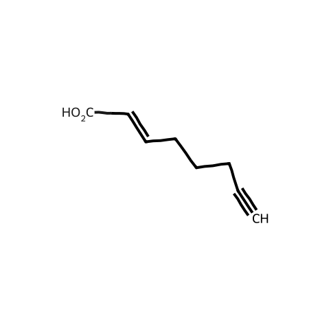 C#CCCC/C=C/C(=O)O